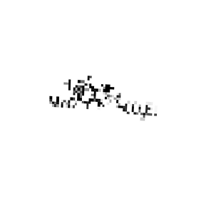 C=C(/C=c1/nc(CCC(=O)OCC)[nH]/c1=C/C)OC